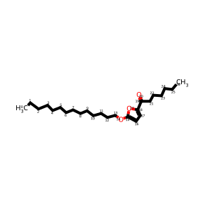 CCCCCCCCCCCCCCOc1ccc(C(=O)CCCCCC)o1